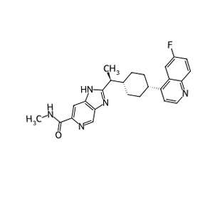 CNC(=O)c1cc2[nH]c([C@@H](C)[C@H]3CC[C@@H](c4ccnc5ccc(F)cc54)CC3)nc2cn1